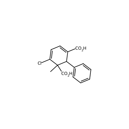 CC1(C(=O)O)C(Cl)=CC=C(C(=O)O)C1c1ccccc1